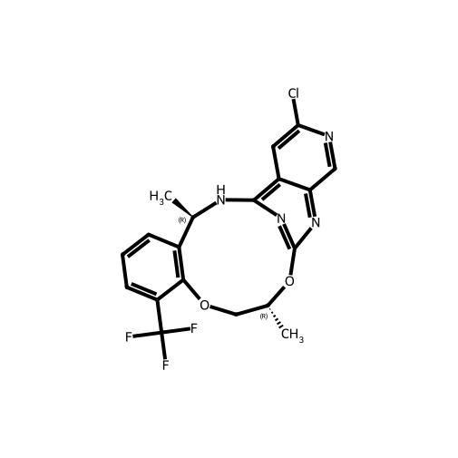 C[C@@H]1COc2c(cccc2C(F)(F)F)[C@@H](C)Nc2nc(nc3cnc(Cl)cc23)O1